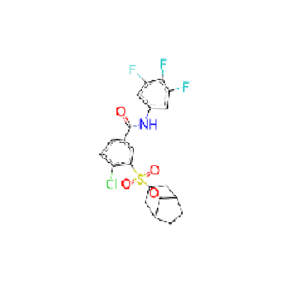 O=C(Nc1cc(F)c(F)c(F)c1)c1ccc(Cl)c(S(=O)(=O)C2CC3CCC(C2)C3=O)c1